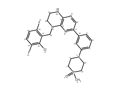 CP1(=O)CCN(c2cccc(-c3cnc4c(n3)N(Cc3c(F)ccc(F)c3Cl)CCN4)c2)CC1